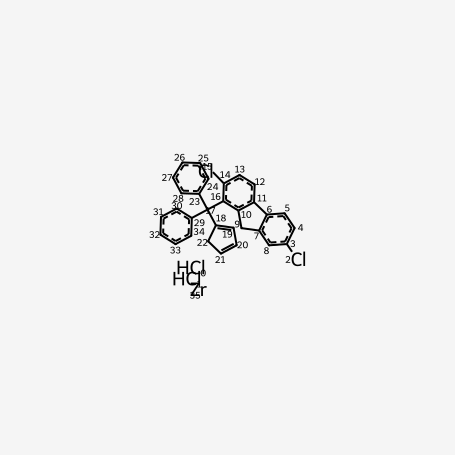 Cl.Cl.Clc1ccc2c(c1)Cc1c-2ccc(Cl)c1C(C1=CC=CC1)(c1ccccc1)c1ccccc1.[Zr]